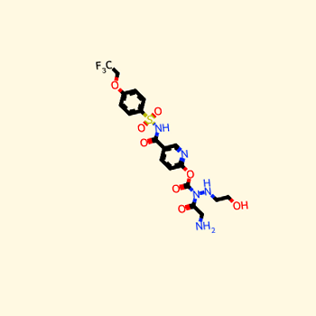 NCC(=O)N(NCCO)C(=O)Oc1ccc(C(=O)NS(=O)(=O)c2ccc(OCC(F)(F)F)cc2)cn1